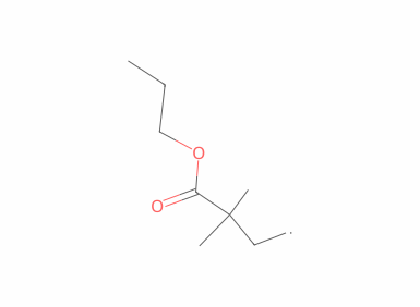 [CH2]CC(C)(C)C(=O)OCCC